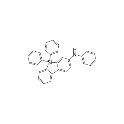 c1ccc(Nc2ccc3c(c2)[Si](c2ccccc2)(c2ccccc2)c2ccccc2-3)cc1